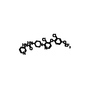 O=C(Nc1cccnc1)NC1CCN(c2nccc(Oc3ccc(OC(F)(F)F)cc3Cl)c2Cl)CC1